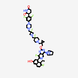 CCc1c(F)ccc2cc(O)cc(-c3ncc4c(N5CC6CCC(C5)N6)nc(OCC5(CN6CCC(F)(CN7CC(F)(CN8CCN(c9cc(F)c(C%10CCC(=O)NC%10=O)c(F)c9)CC8)C7)CC6)CC5)nc4c3F)c12